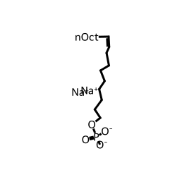 CCCCCCCC/C=C\CCCCCCCCOP(=O)([O-])[O-].[Na+].[Na+]